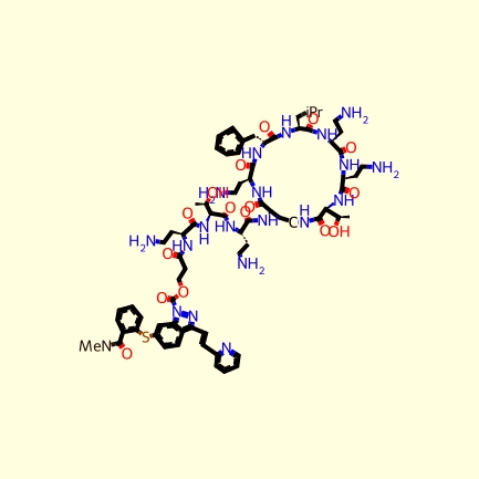 CNC(=O)c1ccccc1Sc1ccc2c(/C=C/c3ccccn3)nn(C(=O)OCCC(=O)N[C@@H](CCN)C(=O)N[C@H](C(=O)N[C@@H](CCN)C(=O)N[C@H]3CCNC(=O)[C@H]([C@@H](C)O)NC(=O)[C@H](CCN)NC(=O)[C@H](CCN)NC(=O)[C@H](CC(C)C)NC(=O)[C@@H](Cc4ccccc4)NC(=O)[C@H](CCN)NC3=O)[C@@H](C)O)c2c1